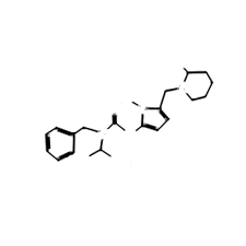 CC1CCCCN1Cc1ccc(OC(=O)N(Cc2ccccc2)C(C)C)n1C